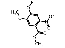 COC(=O)c1cc(OC)c(OBr)cc1[N+](=O)[O-]